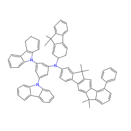 CC1(C)C2=CC(N(c3cc(-n4c5c(c6ccccc64)CCC=C5)cc(-n4c5ccccc5c5ccccc54)c3)c3ccc4c(c3)C(C)(C)c3cc5c(cc3-4)C(C)(C)c3cccc(-c4ccccc4)c3-5)CC=C2c2ccccc21